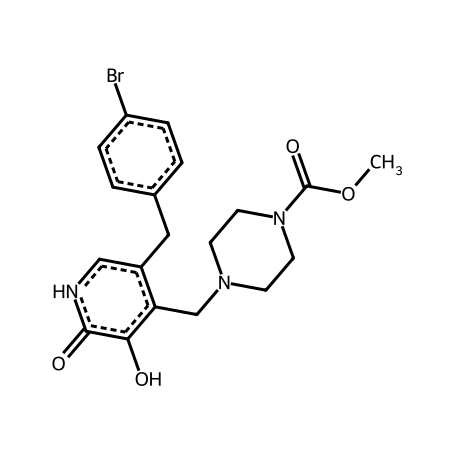 COC(=O)N1CCN(Cc2c(Cc3ccc(Br)cc3)c[nH]c(=O)c2O)CC1